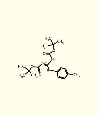 Cc1ccc(N/C(=N\C(=O)OC(C)(C)C)NC(=O)OC(C)(C)C)cc1